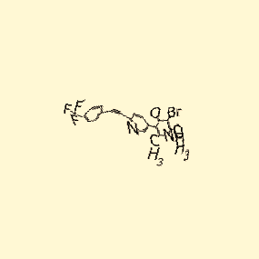 Cc1[nH]c(C)c(-c2ccc(C#Cc3ccc(C(F)(F)F)cc3)nc2)c(=O)c1Br